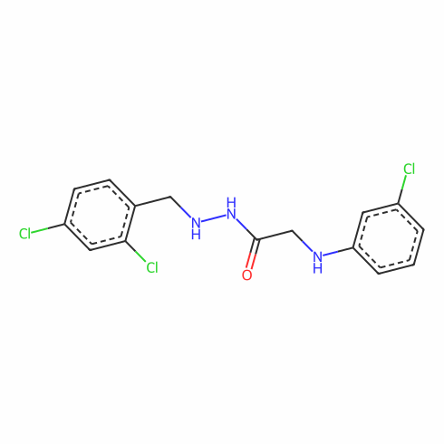 O=C(CNc1cccc(Cl)c1)NNCc1ccc(Cl)cc1Cl